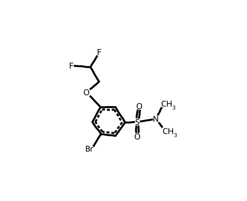 CN(C)S(=O)(=O)c1cc(Br)cc(OCC(F)F)c1